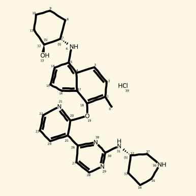 Cc1ccc2c(N[C@H]3CCCC[C@@H]3O)cccc2c1Oc1ncccc1-c1ccnc(N[C@H]2CCCNC2)n1.Cl